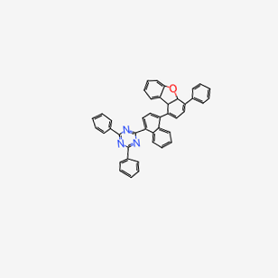 C1=C(c2ccccc2)C2Oc3ccccc3C2C(c2ccc(-c3nc(-c4ccccc4)nc(-c4ccccc4)n3)c3ccccc23)=C1